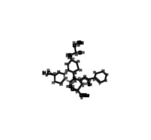 COC(=O)c1sc(C2=CCCCC2)cc1N(C(=O)[C@H]1CC[C@H](C)CC1)C1CCC(NC(=O)OC(C)(C)C)CC1